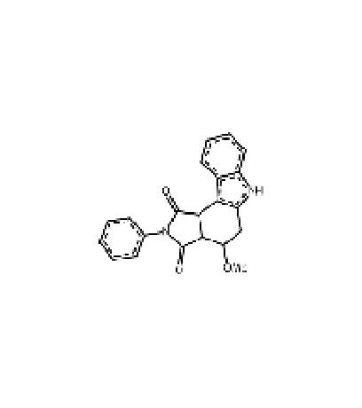 COC1Cc2[nH]c3ccccc3c2C2C(=O)N(c3ccccc3)C(=O)C12